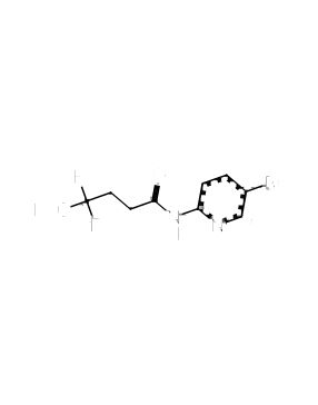 CC(F)(F)CCC(=O)Nc1ccc(Br)cn1